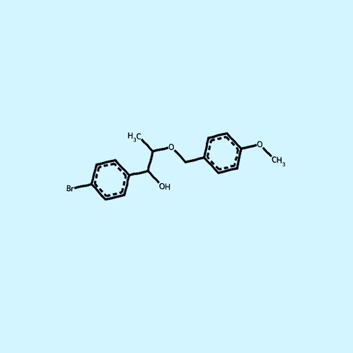 COc1ccc(COC(C)C(O)c2ccc(Br)cc2)cc1